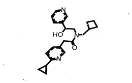 O=C(Cc1ccc(C2CC2)nc1)N(CC1CCC1)CC(O)c1cccnc1